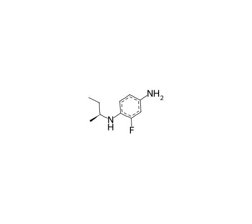 CC[C@H](C)Nc1ccc(N)cc1F